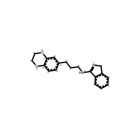 c1ccc2c(c1)CN=C2NCCCc1ccc2c(c1)OCCO2